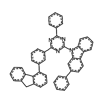 c1ccc(-c2ccc3c4ccccc4n(-c4nc(-c5ccccc5)nc(-c5cccc(-c6cccc7c6-c6ccccc6C7)c5)n4)c3c2)cc1